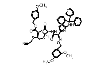 COc1ccc(COC(=O)C2=C(SCC#N)CS[C@@H]3[C@H](NC(=O)/C(=N\OCc4ccc(OC)cc4OC)c4csc(NC(c5ccccc5)(c5ccccc5)c5ccccc5)n4)C(=O)N23)cc1